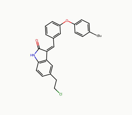 CC(C)(C)c1ccc(Oc2cccc(C=C3C(=O)Nc4ccc(CCCl)cc43)c2)cc1